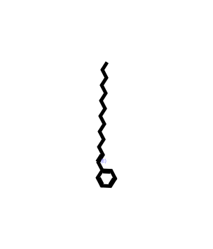 CCCCCCCCCCCC/C=C/c1ccccc1